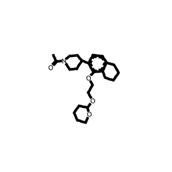 CC(=O)N1CCC(c2ccc3c(c2OCCOC2CCCCO2)CCCC3)CC1